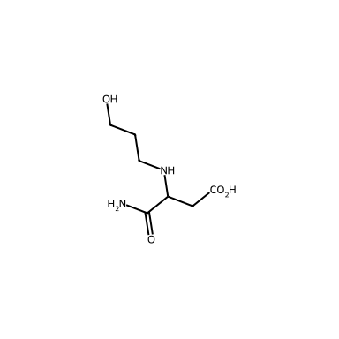 NC(=O)C(CC(=O)O)NCCCO